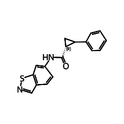 O=C(Nc1ccc2cnsc2c1)[C@@H]1CC1c1ccccc1